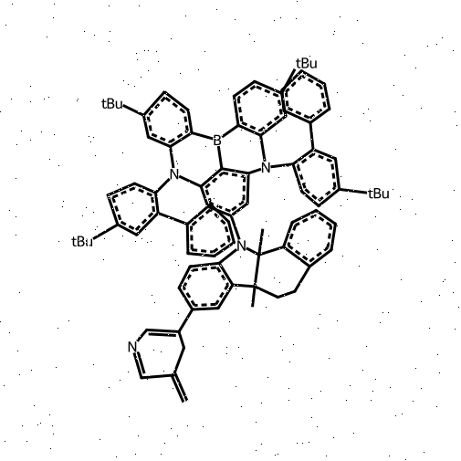 C=C1C=NC=C(c2ccc3c(c2)C2(C)CCc4ccccc4C2(C)N3c2cc3c4c(c2)N(c2ccc(C(C)(C)C)cc2-c2ccccc2)c2cc(C(C)(C)C)ccc2B4c2ccc(C(C)(C)C)cc2N3c2ccc(C(C)(C)C)cc2-c2ccccc2)C1